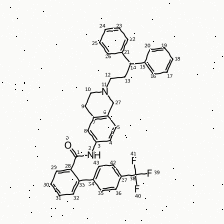 O=C(Nc1ccc2c(c1)CCN(CCC(c1ccccc1)c1ccccc1)C2)c1ccccc1-c1ccc(C(F)(F)F)cc1